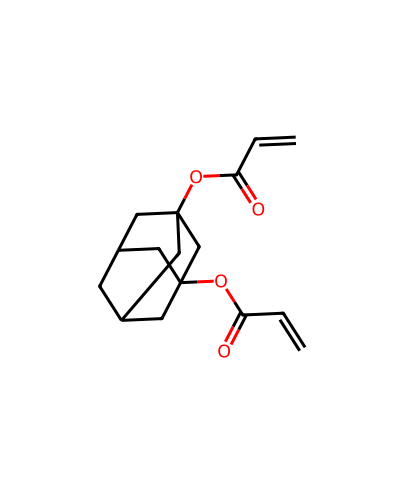 C=CC(=O)OC12CC3CC(C1)CC(OC(=O)C=C)(C3)C2